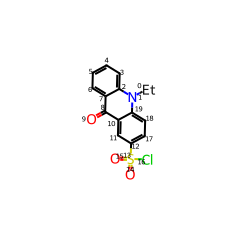 CCn1c2ccccc2c(=O)c2cc(S(=O)(=O)Cl)ccc21